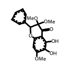 COc1cc2c(c(O)c1O)C(=O)C(OC)(OC)C(c1ccccc1)O2